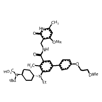 CCN(c1cc(-c2ccc(OCCOC)cc2)cc(C(=O)NCc2c(OC)cc(C)[nH]c2=O)c1C)[C@H]1CC[C@H](N(C(=O)O)C(C)(C)C)CC1